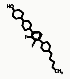 CCCCCC1CCC(c2ccc(C3CCC(C4CCC(O)CC4)CC3)c(F)c2F)CC1